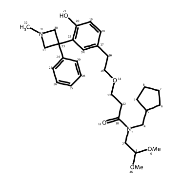 COC(CN(CC1CCCC1)C(=O)CCOCCc1ccc(O)c(C2(c3ccccc3)CN(C)C2)c1)OC